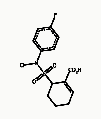 O=C(O)C1=CCCCC1S(=O)(=O)N(Cl)c1ccc(F)cc1